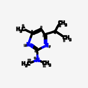 Cc1cc(C(C)C)nc(N(C)C)n1